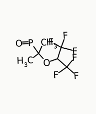 CC(C)(OC(C(F)(F)F)C(F)(F)F)P=O